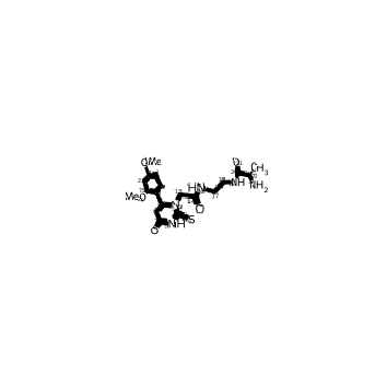 COc1ccc(-c2cc(=O)[nH]c(=S)n2CC(=O)NCCNC(=O)[C@H](C)N)c(OC)c1